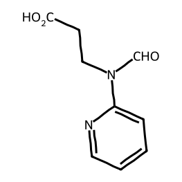 O=CN(CCC(=O)O)c1ccccn1